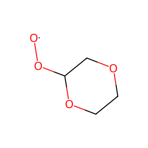 [O]OC1COCCO1